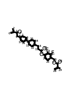 C=C(C)C(=O)Cc1ccc(-c2ccc(CCC(=O)Oc3ccc(COC(=O)C(=C)C)c(F)c3F)cc2)cc1